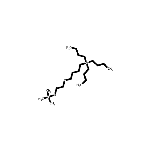 CCCC[N+](CCCC)(CCCC)CCCCSCCO[Si](C)(C)C